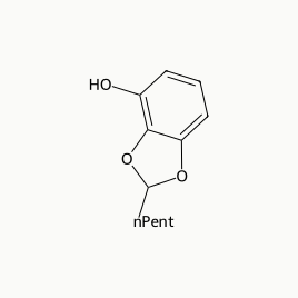 CCCCCC1Oc2cccc(O)c2O1